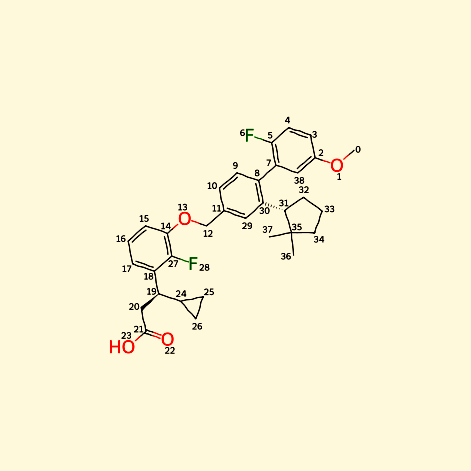 COc1ccc(F)c(-c2ccc(COc3cccc([C@H](CC(=O)O)C4CC4)c3F)cc2[C@@H]2CCCC2(C)C)c1